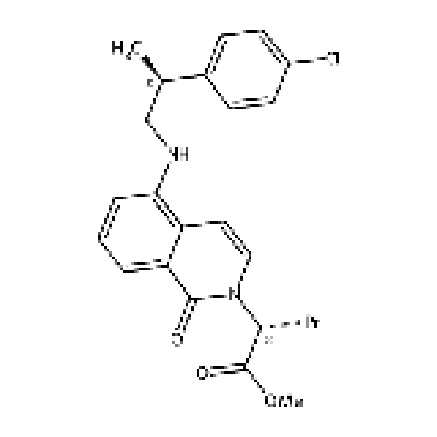 COC(=O)[C@@H](C(C)C)n1ccc2c(NC[C@@H](C)c3ccc(Cl)cc3)cccc2c1=O